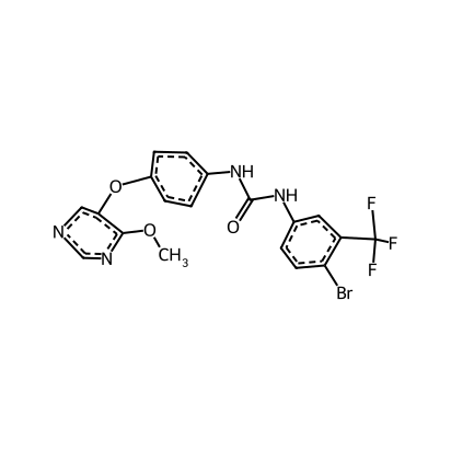 COc1ncncc1Oc1ccc(NC(=O)Nc2ccc(Br)c(C(F)(F)F)c2)cc1